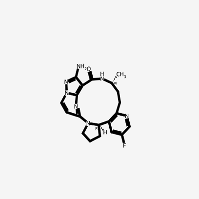 C[C@@H]1CCc2ncc(F)cc2[C@H]2CCCN2c2ccn3nc(N)c(c3n2)C(=O)N1